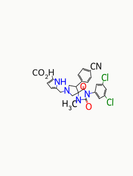 CN1C(=O)N(c2cc(Cl)cc(Cl)c2)C(=O)C12CN(Cc1ccc(C(=O)O)[nH]1)CC2c1ccc(C#N)cc1